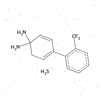 NC1(N)C=CC(c2ccccc2C(F)(F)F)=CC1.S